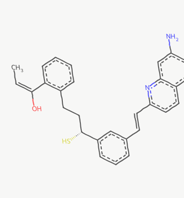 C/C=C(/O)c1ccccc1CC[C@@H](S)c1cccc(/C=C/c2ccc3ccc(N)cc3n2)c1